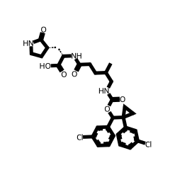 CC(CCC(=O)N[C@@H](C[C@@H]1CCNC1=O)C(=O)O)CNC(=O)OC(c1cccc(Cl)c1)C1(c2cccc(Cl)c2)CC1